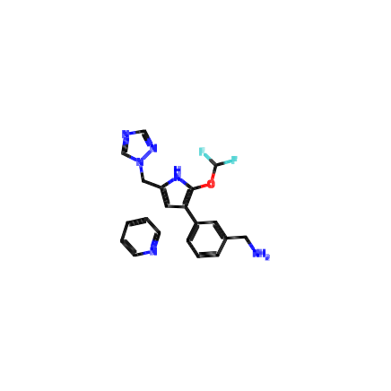 NCc1cccc(-c2cc(Cn3cncn3)[nH]c2OC(F)F)c1.c1ccncc1